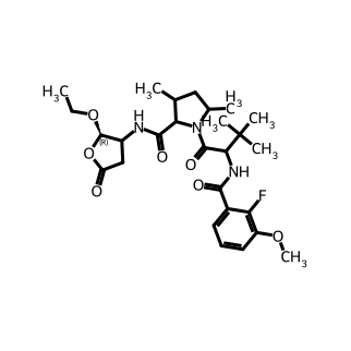 CCO[C@@H]1OC(=O)CC1NC(=O)C1C(C)CC(C)N1C(=O)C(NC(=O)c1cccc(OC)c1F)C(C)(C)C